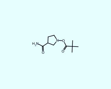 CC(C)(C)C(=O)ON1CCC(C(N)=O)C1